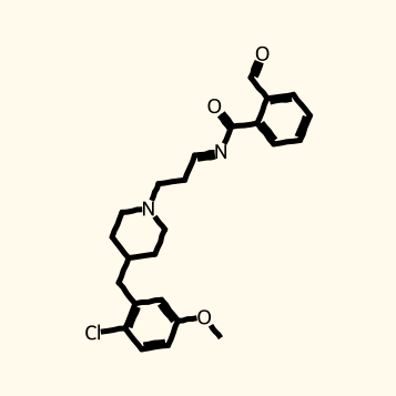 COc1ccc(Cl)c(CC2CCN(CCC=NC(=O)c3ccccc3C=O)CC2)c1